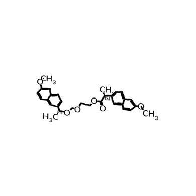 COc1ccc2cc([C@H](C)C(=O)OCCOCO[C@H](C)c3ccc4cc(OC)ccc4c3)ccc2c1